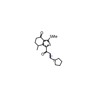 CSc1sc(C(=O)/C=C/N2CCCC2)c2c1C(=O)CCC2C